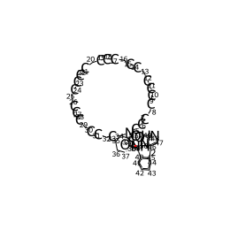 NS(=O)(=O)N1CCCCCCCCCCCCCCCCCCCCCCCCCCCCCC12CCC[C@@H]([C@@H]1c3ccccc3-c3cncn31)[C@H]2O